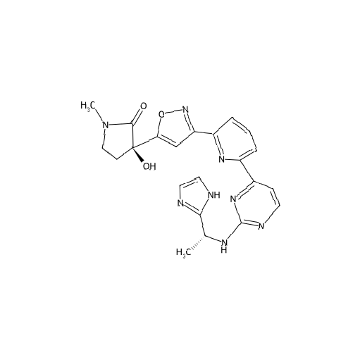 C[C@@H](Nc1nccc(-c2cccc(-c3cc([C@]4(O)CCN(C)C4=O)on3)n2)n1)c1ncc[nH]1